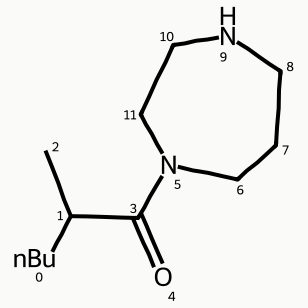 CCCCC(C)C(=O)N1CCCNCC1